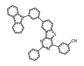 N#Cc1cccc(-c2nc(-c3ccccc3)nc3c2sc2ccc(-c4cccc(-n5c6ccccc6c6ccccc65)c4)cc23)c1